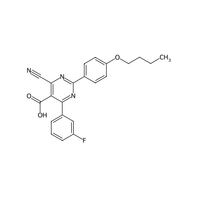 CCCCOc1ccc(-c2nc(C#N)c(C(=O)O)c(-c3cccc(F)c3)n2)cc1